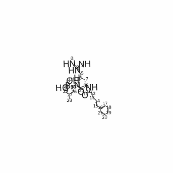 CNC(=N)NCCC[C@H](NC(=O)CCCCc1ccccc1)C(=O)N[C@@H](CC(C)C)B(O)O